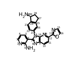 Nc1ncccc1-c1nc2ccc(-c3ncco3)nc2n1-c1ccc2c(c1)CC[C@@H]2N